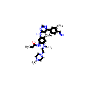 C=CC(=O)Nc1cc(Nc2cc(-c3ccc(C=N)c(NC)c3)ncn2)c(OC)cc1N(C)CCN1CCN(C)CC1